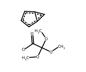 COC(OC)(OC)C(=O)Cl.c1cc2cc-2c1